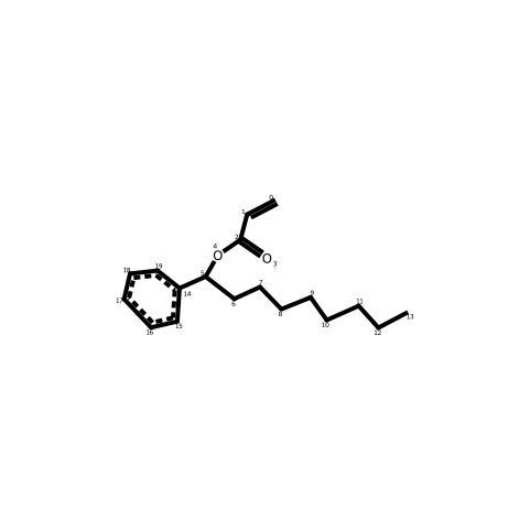 C=CC(=O)OC(CCCCCCCC)c1ccccc1